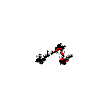 CCc1cccc(-c2c(F)cccc2C(O)(CCCNC(=O)O)C2CCCN(C(=O)CCC(N)CO)C2)c1.CNCCCC(=O)N1CCCC(C(O)(CCCNC(C)=O)c2cccc(F)c2-c2cc(C)ccc2F)C1.CNCCCC(=O)N1CCCC(C(O)(CCCNC(C)=O)c2cccc(F)c2-c2cccc(C)c2)C1